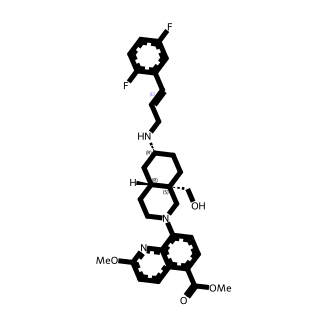 COC(=O)c1ccc(N2CC[C@@H]3C[C@H](NC/C=C/c4cc(F)ccc4F)CC[C@@]3(CO)C2)c2nc(OC)ccc12